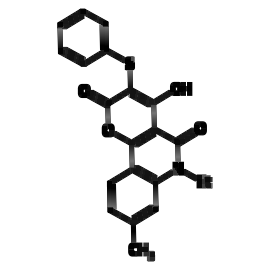 CCn1c(=O)c2c(O)c(Sc3ccccc3)c(=O)oc2c2ccc(C)cc21